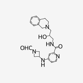 O=CN1CC(Nc2ccnc(C(=O)NCC(O)CN3CCc4ccccc4C3)c2)C1